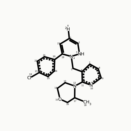 [2H]C1=CNN(Cc2cccnc2N2CCOCC2C)C(c2ccc(Cl)cc2)=C1